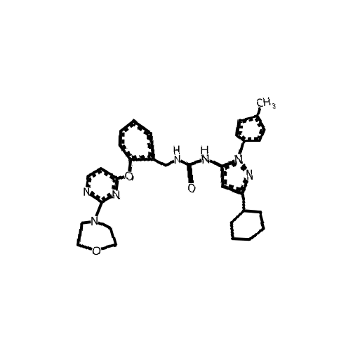 Cc1ccc(-n2nc(C3CCCCC3)cc2NC(=O)NCc2ccccc2Oc2ccnc(N3CCOCC3)n2)cc1